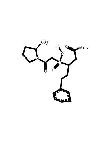 CCCCCC(=O)CC(CCc1ccccc1)P(=O)(CC(=O)N1CCC[C@H]1C(=O)O)OCC